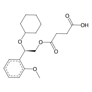 COc1ccccc1[C@H](COC(=O)CCC(=O)O)OC1CCCCC1